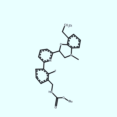 CCOC(=O)Cc1cccc2c1OC(c1cccc(-c3cccc(CNC(=O)OC(C)(C)C)c3F)n1)CN2C